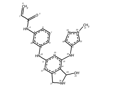 C=CC(=O)Nc1cccc(Nc2nc3c(c(Nc4cnn(C)c4)n2)C(O)NC3)c1